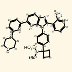 CC(C)(C)N(C(=O)O)C1(c2ccc(-n3c(-c4cccnc4N)nc4ccc(-c5cccc(N6CCOCC6)n5)nc43)cc2)CCC1